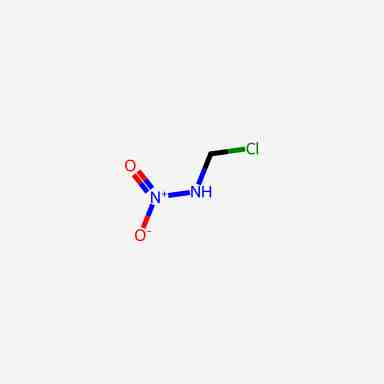 O=[N+]([O-])NCCl